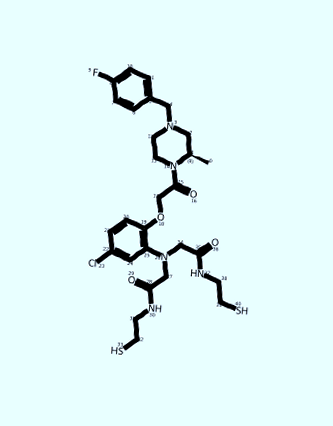 C[C@@H]1CN(Cc2ccc(F)cc2)CCN1C(=O)COc1ccc(Cl)cc1N(CC(=O)NCCS)CC(=O)NCCS